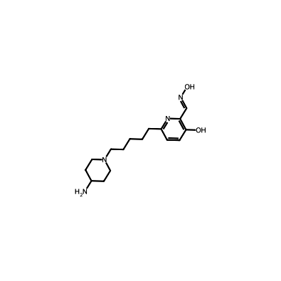 NC1CCN(CCCCCc2ccc(O)c(C=NO)n2)CC1